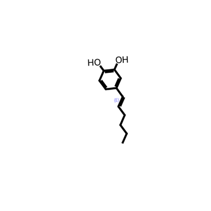 CCCC/C=C/c1ccc(O)c(O)c1